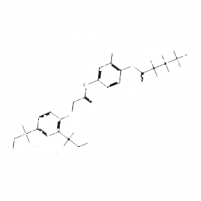 CCC(C)(C)c1ccc(OCC(=O)Nc2ccc(NC(=O)C(F)(F)C(F)(F)C(F)(F)F)c(O)c2)c(C(C)(C)CC)c1